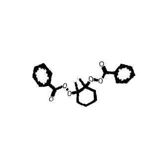 [CH2]C1(OOC(=O)c2ccccc2)CCCCC1([CH2])OOC(=O)c1ccccc1